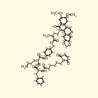 COc1cc2c(=O)n(CCN(C)C(=O)OCc3ccc(NC(=O)[C@H](CCCN)NC(=O)C(Cc4ccccc4)NC(=O)CCCCCN4C(=O)C=CC4=O)cc3)c3c4cc5c(cc4ncc3c2cc1OC)OCO5